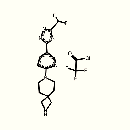 FC(F)c1nnc(-c2ccc(N3CCC4(CC3)CNC4)nc2)o1.O=C(O)C(F)(F)F